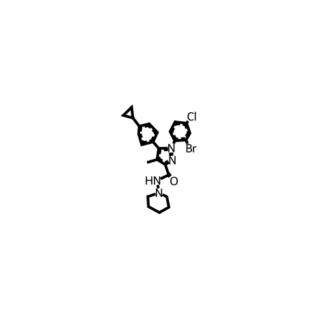 Cc1c(C(=O)NN2CCCCC2)nn(-c2ccc(Cl)cc2Br)c1-c1ccc(C2CC2)cc1